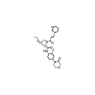 CCO[C@@H]1C[C@H](C(=O)Nc2ccc(N3CCOCC3=O)cc2F)N(C(=O)/C=C/c2cccnc2)C1